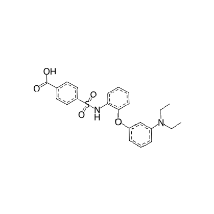 CCN(CC)c1cccc(Oc2ccccc2NS(=O)(=O)c2ccc(C(=O)O)cc2)c1